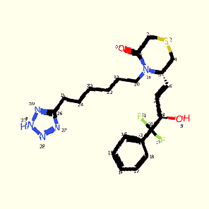 O=C1CSC[C@H](/C=C/[C@@H](O)C(F)(F)c2ccccc2)N1CCCCCCc1nn[nH]n1